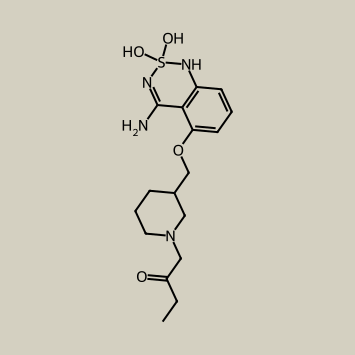 CCC(=O)CN1CCCC(COc2cccc3c2C(N)=NS(O)(O)N3)C1